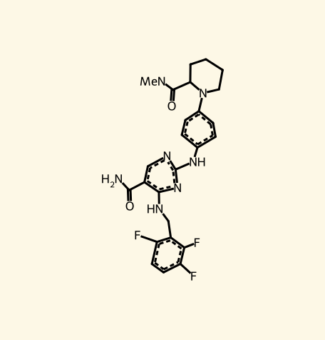 CNC(=O)C1CCCCN1c1ccc(Nc2ncc(C(N)=O)c(NCc3c(F)ccc(F)c3F)n2)cc1